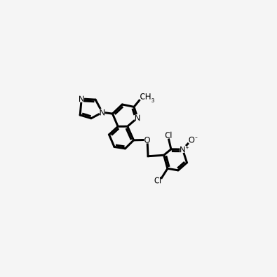 Cc1cc(-n2ccnc2)c2cccc(OCc3c(Cl)cc[n+]([O-])c3Cl)c2n1